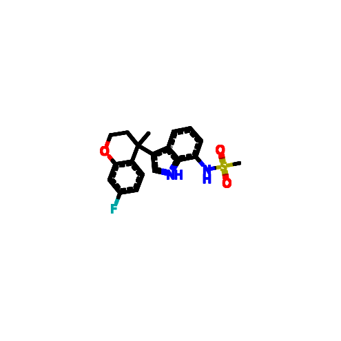 CC1(c2c[nH]c3c(NS(C)(=O)=O)cccc23)CCOc2cc(F)ccc21